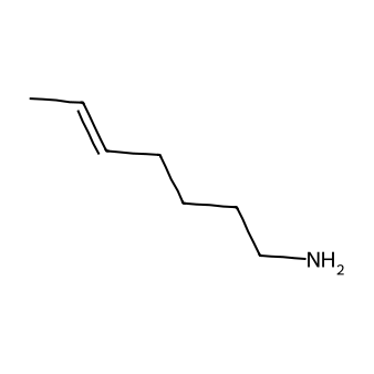 CC=CCCCCN